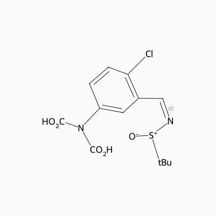 CC(C)(C)[S+]([O-])/N=C\c1cc(N(C(=O)O)C(=O)O)ccc1Cl